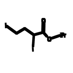 CC(C)OC(=O)C(I)CCI